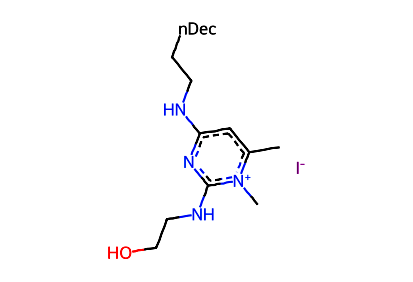 CCCCCCCCCCCCNc1cc(C)[n+](C)c(NCCO)n1.[I-]